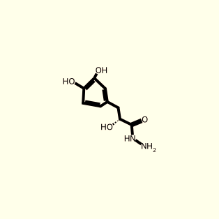 NNC(=O)[C@H](O)Cc1ccc(O)c(O)c1